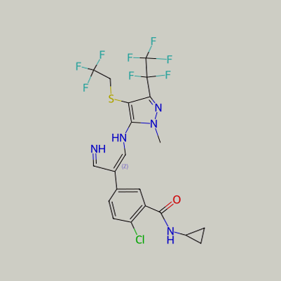 Cn1nc(C(F)(F)C(F)(F)F)c(SCC(F)(F)F)c1N/C=C(\C=N)c1ccc(Cl)c(C(=O)NC2CC2)c1